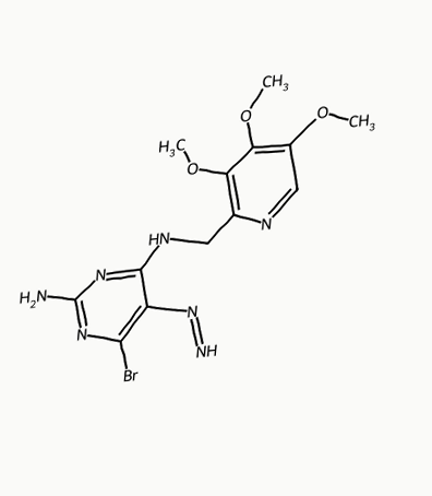 COc1cnc(CNc2nc(N)nc(Br)c2N=N)c(OC)c1OC